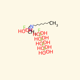 CCCCCCCCCCN1C=CN(C)C1.OB(O)F.OB(O)F.OB(O)F.OB(O)F.OB(O)F.OB(O)F